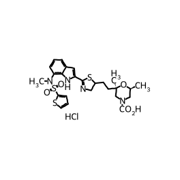 C[C@H]1CN(C(=O)O)C[C@@](C)(CCC2CN=C(c3cc4cccc(N(C)S(=O)(=O)c5cccs5)c4[nH]3)S2)O1.Cl